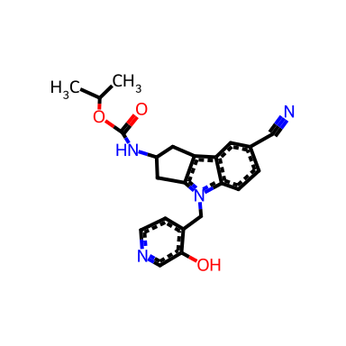 CC(C)OC(=O)NC1Cc2c(n(Cc3ccncc3O)c3ccc(C#N)cc23)C1